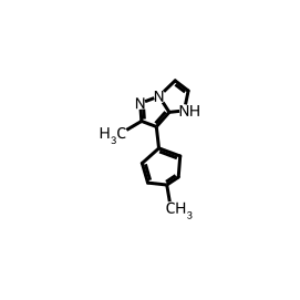 Cc1ccc(-c2c(C)nn3cc[nH]c23)cc1